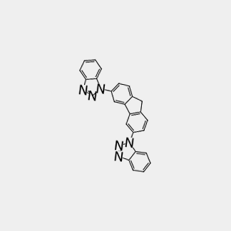 c1ccc2c(c1)nnn2-c1ccc2c(c1)-c1cc(-n3nnc4ccccc43)ccc1C2